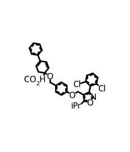 CC(C)c1onc(-c2c(Cl)cccc2Cl)c1COc1ccc(COC2(C(=O)O)C=CC(c3ccccc3)=CC2)cc1